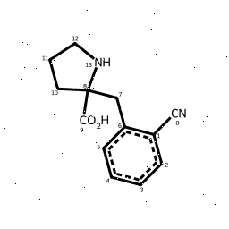 N#Cc1ccccc1CC1(C(=O)O)CCCN1